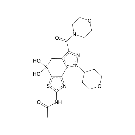 CC(=O)Nc1nc2c(s1)S(O)(O)Cc1c(C(=O)N3CCOCC3)nn(C3CCOCC3)c1-2